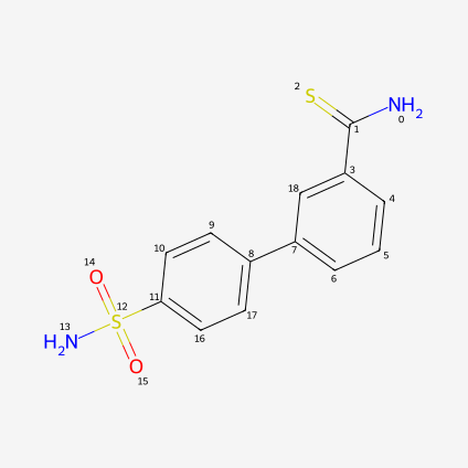 NC(=S)c1cccc(-c2ccc(S(N)(=O)=O)cc2)c1